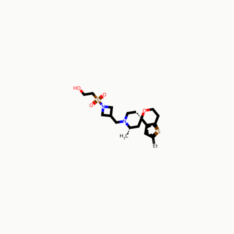 CCc1cc2c(s1)CCO[C@@]21CCN(CC2CN(S(=O)(=O)CCO)C2)[C@@H](C)C1